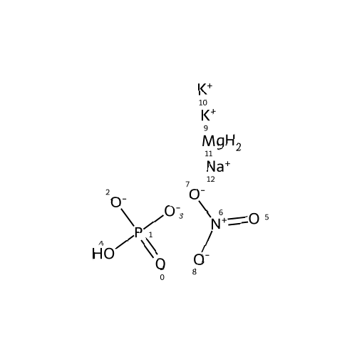 O=P([O-])([O-])O.O=[N+]([O-])[O-].[K+].[K+].[MgH2].[Na+]